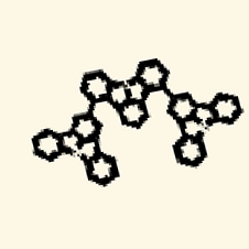 c1ccc2c(c1)c1cc(-c3cccc4c3c3cccc5c6c(-c7cc8c9ccccc9n9c%10ccccc%10c(c7)c89)cccc6n4c35)cc3c4ccccc4n2c13